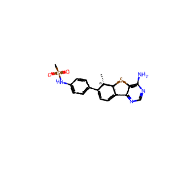 C[C@H]1C(c2ccc(NS(C)(=O)=O)cc2)=CC=C2c3ncnc(N)c3SC21